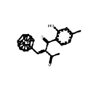 CC(=O)C(=C[C]12[CH]3[CH]4[CH]5[CH]1[Fe]45321678[CH]2[CH]1[CH]6[CH]7[CH]28)C(=O)c1ccc(C)cc1O